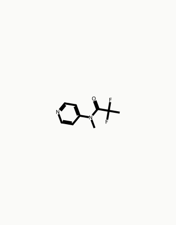 CN(C(=O)C(C)(F)F)c1ccncc1